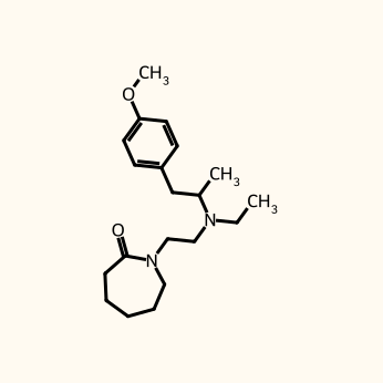 CCN(CCN1CCCCCC1=O)C(C)Cc1ccc(OC)cc1